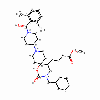 COC(=O)CCCC1CN(CC2CCCCC2)C(=O)OC12CCN(C1CCN(C(=O)c3c(C)cccc3C)CC1)CC2